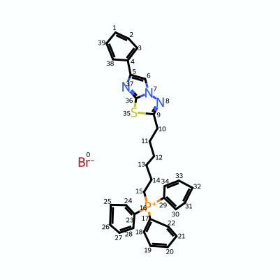 [Br-].c1ccc(-c2cn3nc(CCCCCC[P+](c4ccccc4)(c4ccccc4)c4ccccc4)sc3n2)cc1